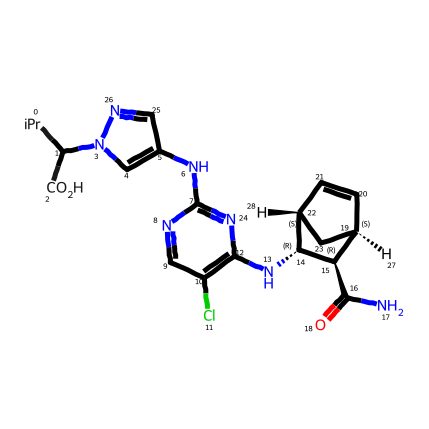 CC(C)C(C(=O)O)n1cc(Nc2ncc(Cl)c(N[C@H]3[C@H](C(N)=O)[C@@H]4C=C[C@@H]3C4)n2)cn1